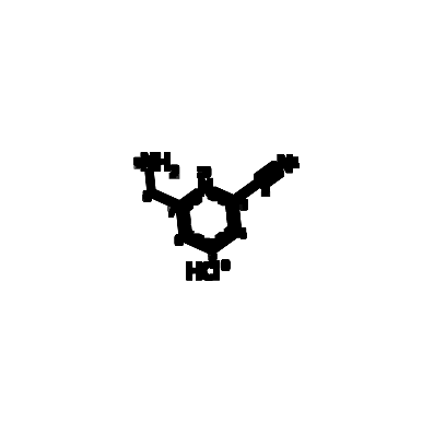 Cl.N#Cc1cccc(CN)n1